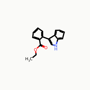 CCOC(=O)c1ccccc1-c1c[nH]c2ccccc12